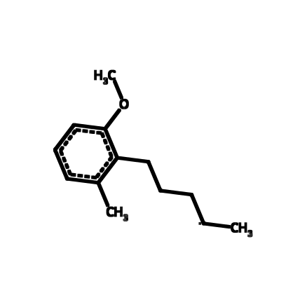 C[CH]CCCc1c(C)cccc1OC